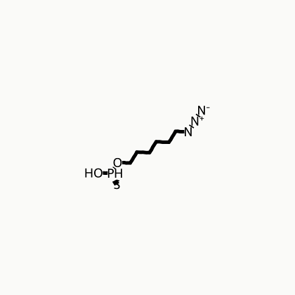 [N-]=[N+]=NCCCCCCO[PH](O)=S